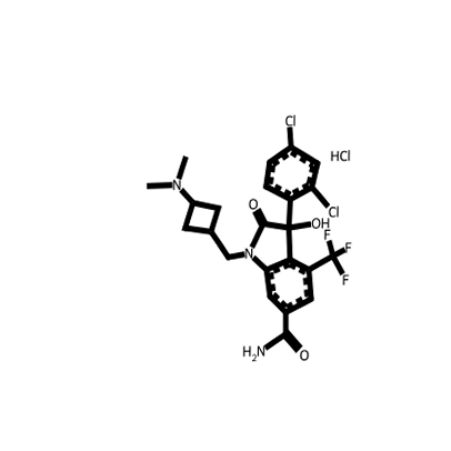 CN(C)C1CC(CN2C(=O)C(O)(c3ccc(Cl)cc3Cl)c3c2cc(C(N)=O)cc3C(F)(F)F)C1.Cl